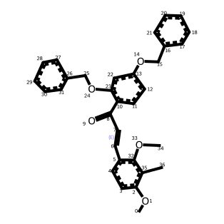 COc1ccc(/C=C/C(=O)c2ccc(OCc3ccccc3)cc2OCc2ccccc2)c(OC)c1C